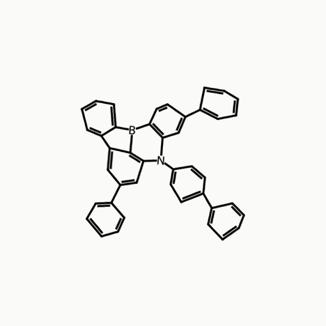 c1ccc(-c2ccc(N3c4cc(-c5ccccc5)ccc4B4c5ccccc5-c5cc(-c6ccccc6)cc3c54)cc2)cc1